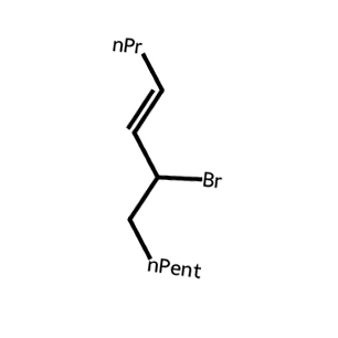 CCCC=CC(Br)CCCCCC